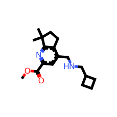 COC(=O)c1cc(CNCC2CCC2)c2c(n1)C(C)(C)CC2